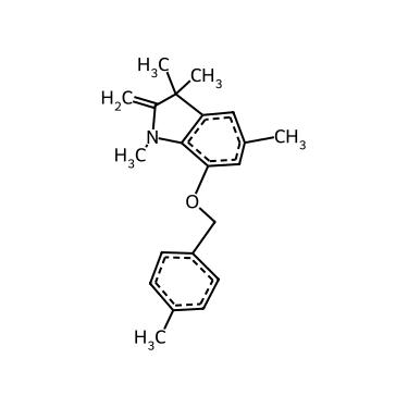 C=C1N(C)c2c(OCc3ccc(C)cc3)cc(C)cc2C1(C)C